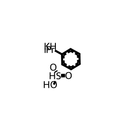 CC(C)c1ccccc1.O=[SH](=O)O.[KH]